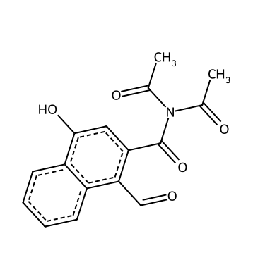 CC(=O)N(C(C)=O)C(=O)c1cc(O)c2ccccc2c1C=O